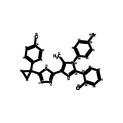 Cc1c(-c2nnc(C3(c4ccc(Cl)cc4)CC3)s2)nc(-c2ccccc2Cl)n1-c1ccc(Br)cc1